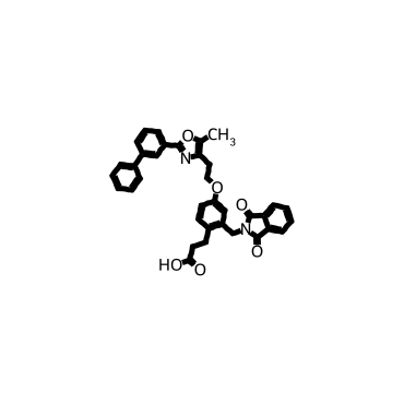 Cc1oc(-c2cccc(-c3ccccc3)c2)nc1CCOc1ccc(CCC(=O)O)c(CN2C(=O)c3ccccc3C2=O)c1